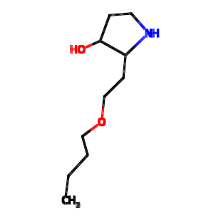 CCCCOCCC1NCCC1O